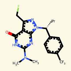 CC(C)[C@H](c1ccc(C(F)(F)F)cc1)n1nc(CF)c2c(=O)[nH]c(N(C)C)nc21